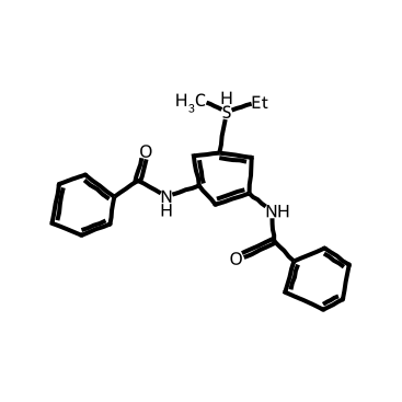 CC[SH](C)c1cc(NC(=O)c2ccccc2)cc(NC(=O)c2ccccc2)c1